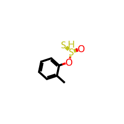 Cc1ccccc1O[SH](=O)=S